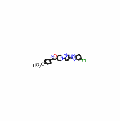 O=C(O)c1ccc(C2=NOC3(CCN(c4ccc(-c5nc6cc(Cl)ccc6[nH]5)cn4)CC3)C2)cc1